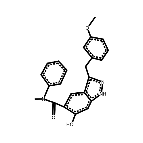 COc1cccc(Cc2n[nH]c3cc(O)c(C(=O)N(C)c4ccccc4)cc23)c1